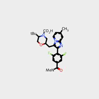 CNC(=O)c1cc(F)c(-c2nc3cc(C)ccn3c2CC2CN(C(=O)O)C(C(C)(C)C)CO2)c(F)c1